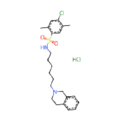 Cc1cc(S(=O)(=O)NCCCCCCN2CCc3ccccc3C2)c(C)cc1Cl.Cl